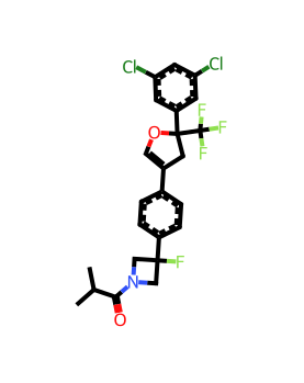 CC(C)C(=O)N1CC(F)(c2ccc(C3=COC(c4cc(Cl)cc(Cl)c4)(C(F)(F)F)C3)cc2)C1